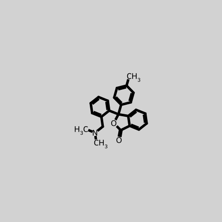 Cc1ccc(C2(c3ccccc3CN(C)C)OC(=O)c3ccccc32)cc1